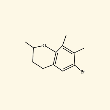 Cc1c(Br)cc2c(c1C)OC(C)CC2